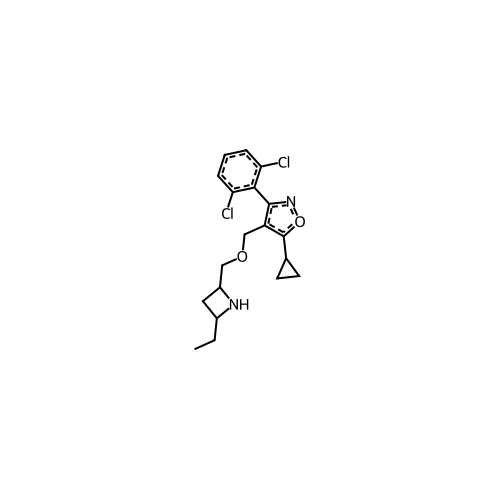 CCC1CC(COCc2c(-c3c(Cl)cccc3Cl)noc2C2CC2)N1